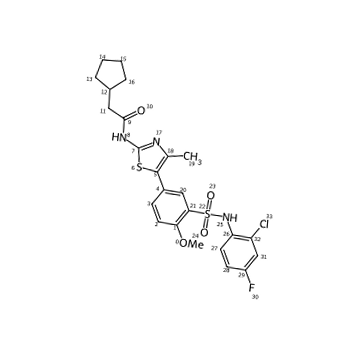 COc1ccc(-c2sc(NC(=O)CC3CCCC3)nc2C)cc1S(=O)(=O)Nc1ccc(F)cc1Cl